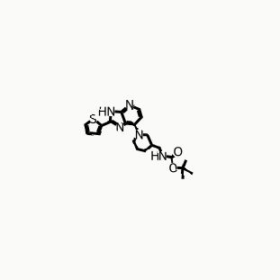 CC(C)(C)OC(=O)NCC1CCCN(c2ccnc3[nH]c(-c4cccs4)nc23)C1